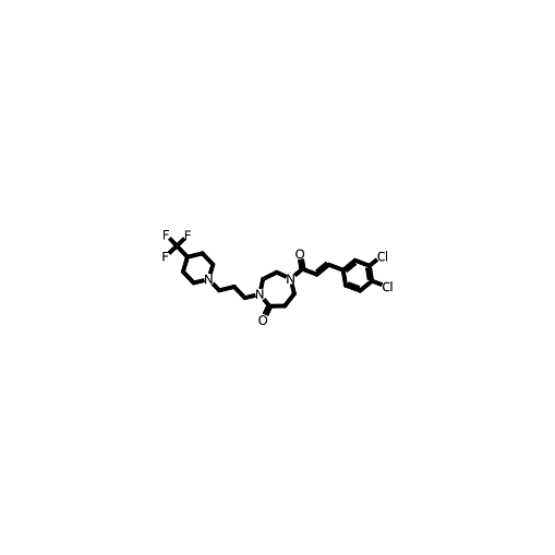 O=C(C=Cc1ccc(Cl)c(Cl)c1)N1CCC(=O)N(CCCN2CCC(C(F)(F)F)CC2)CC1